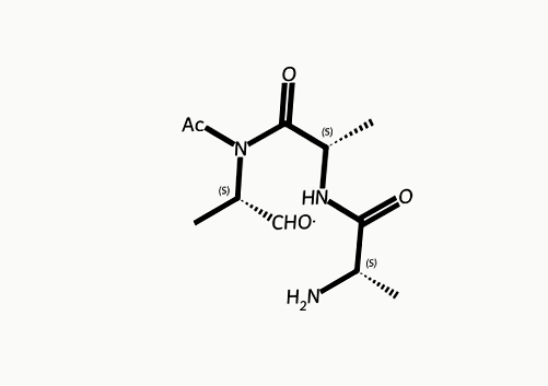 CC(=O)N(C(=O)[C@H](C)NC(=O)[C@H](C)N)[C@@H](C)[C]=O